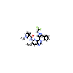 COc1cc2ncnc(-c3cn(CC(F)F)nc3-c3ccccc3)c2nc1NC(=O)[C@]12C[C@H]1CN(C)C2